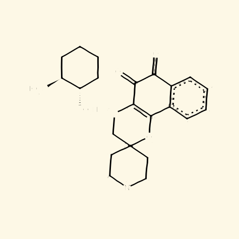 O=C(O)[C@H]1CCCC[C@@H]1C(=O)O.O=C1C(=O)c2ccccc2C2=C1SCC1(CCNCC1)O2